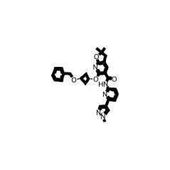 Cn1cc(-c2cccc(NC(=O)c3cc4c(nc3O[C@H]3C[C@@H](OCc5ccccc5)C3)OC(C)(C)C4)n2)cn1